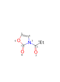 CCC(=O)n1ccoc1=O